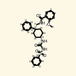 COc1ccccc1C(=O)NC[C@]1(c2ccccc2)CC[C@H](NC(=O)NS(=O)(=O)c2ccccc2)CC1